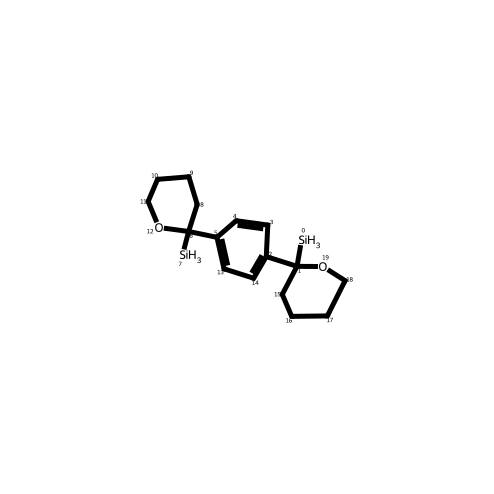 [SiH3]C1(c2ccc(C3([SiH3])CCCCO3)cc2)CCCCO1